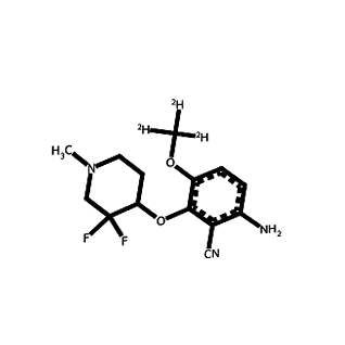 [2H]C([2H])([2H])Oc1ccc(N)c(C#N)c1OC1CCN(C)CC1(F)F